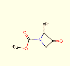 CCCC1C(=O)CN1C(=O)OC(C)(C)C